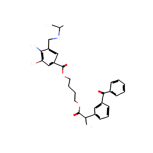 CC(C)NCc1cc(C(=O)OCCCCOC(=O)C(C)c2cccc(C(=O)c3ccccc3)c2)cc(Br)c1N